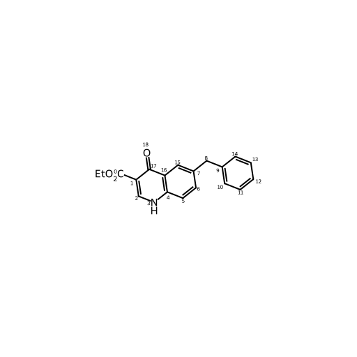 CCOC(=O)c1c[nH]c2ccc(Cc3ccccc3)cc2c1=O